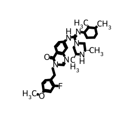 COc1ccc(CCn2cnc3cc(N/C(=N/C4CCCC(C)C4C)N4C[C@@H](C)N[C@@H](C)C4)ccc3c2=O)c(F)c1